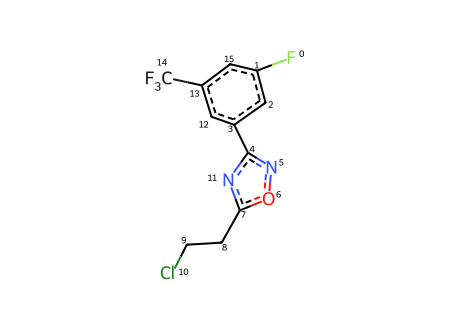 Fc1cc(-c2noc(CCCl)n2)cc(C(F)(F)F)c1